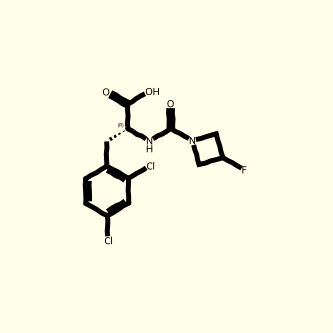 O=C(O)[C@@H](Cc1ccc(Cl)cc1Cl)NC(=O)N1CC(F)C1